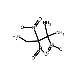 NCC([N+](=O)[O-])([N+](=O)[O-])C(N)(N)[N+](=O)[O-]